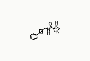 O=C(NCC12CC(c3ccccc3)(C1)C2)C1=[SH]C=NC1